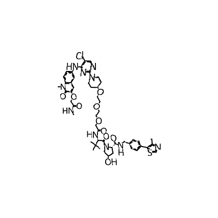 CNC(=O)COc1cc2cc(Nc3nc(N4CCC(OCCOCCOCC(=O)N[C@H](C(=O)N5C[C@H](O)C[C@H]5C(=O)NCc5ccc(-c6scnc6C)cc5)C(C)(C)C)CC4)ncc3Cl)ccc2n(C)c1=O